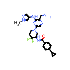 Cn1cc(Nc2nc(N3CCC(F)(F)C(NC(=O)c4ccc(C5CC5)cc4)C3)cnc2CN)cn1